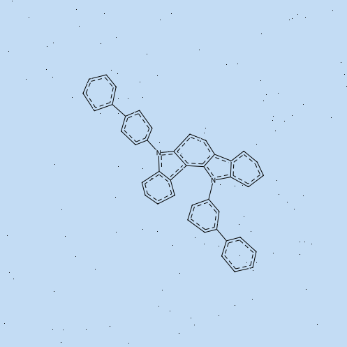 c1ccc(-c2ccc(-n3c4ccccc4c4c3ccc3c5ccccc5n(-c5cccc(-c6ccccc6)c5)c34)cc2)cc1